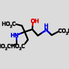 O=C(O)CNCC(O)C(CC(=O)O)(CC(=O)O)NCC(=O)O